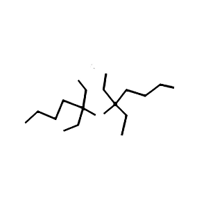 CCCCC(CC)(CC)OC(CC)(CC)CCCC.[Al]